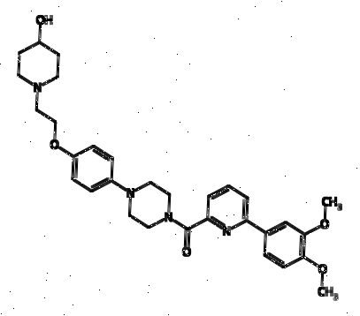 COc1ccc(-c2cccc(C(=O)N3CCN(c4ccc(OCCN5CCC(O)CC5)cc4)CC3)n2)cc1OC